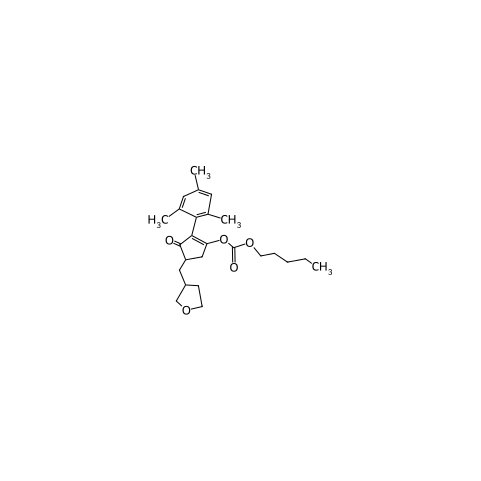 CCCCCOC(=O)OC1=C(c2c(C)cc(C)cc2C)C(=O)C(CC2CCOC2)C1